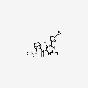 O=C(O)C1C2CCC(CC2)C1Nc1nc(Cl)nc(-c2ccc(C3CC3)s2)c1F